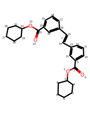 O=C(OC1CCCCC1)c1cccc(/C=C/c2cccc(C(=O)OC3CCCCC3)c2)c1